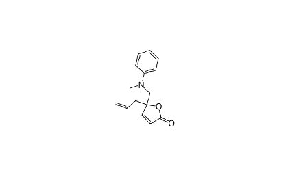 C=CCC1(CN(C)c2ccccc2)C=CC(=O)O1